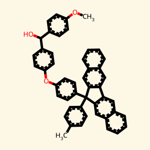 COc1ccc(C(O)c2ccc(Oc3ccc(C4(c5ccc(C)cc5)c5cc6ccccc6cc5-c5cc6ccccc6cc54)cc3)cc2)cc1